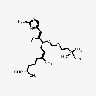 C/C(=C/C[C@H](OCOCC[Si](C)(C)C)/C(C)=C/c1csc(C)n1)CCC[C@H](C)C=O